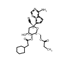 CCC(=O)OC[C@H]1O[C@@](C#N)(c2ccc3c(N)ncnn23)C[C@H](O)[C@@H]1OC(=O)CC1CCCCC1